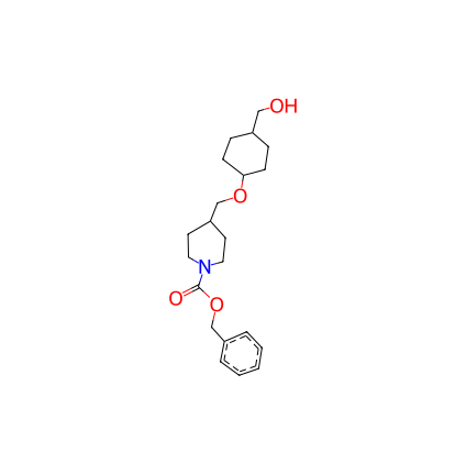 O=C(OCc1ccccc1)N1CCC(COC2CCC(CO)CC2)CC1